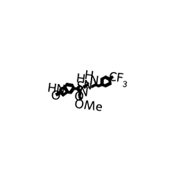 COCOc1nc(NC[C@@H](N)Cc2ccc(C(F)(F)F)cc2)sc1-c1ccc2c(c1)CC(=O)N2